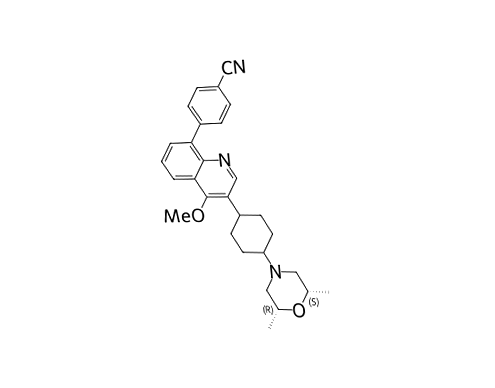 COc1c(C2CCC(N3C[C@@H](C)O[C@@H](C)C3)CC2)cnc2c(-c3ccc(C#N)cc3)cccc12